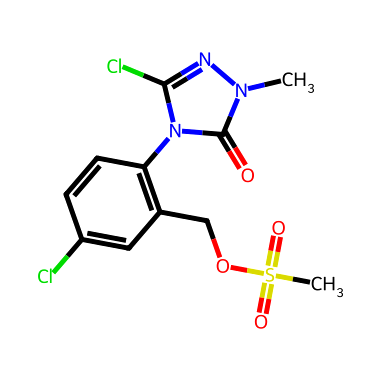 Cn1nc(Cl)n(-c2ccc(Cl)cc2COS(C)(=O)=O)c1=O